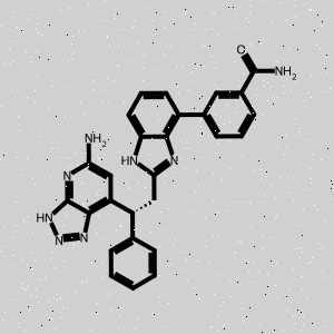 NC(=O)c1cccc(-c2cccc3[nH]c(C[C@H](c4ccccc4)c4cc(N)nc5[nH]nnc45)nc23)c1